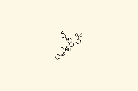 COC(=O)c1cccc(-c2ccc(CNC(=O)[C@@H]3C[C@H]3c3ccccc3)c3c2CCN(C(=O)CC2CC2)C3)c1